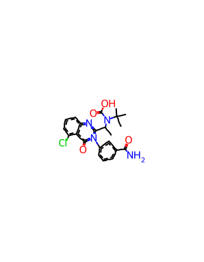 CC(c1nc2cccc(Cl)c2c(=O)n1-c1cccc(C(N)=O)c1)N(C(=O)O)C(C)(C)C